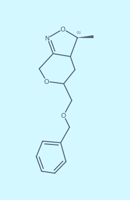 C[C@@H]1ON=C2COC(COCc3ccccc3)CC21